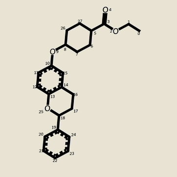 CCOC(=O)C1CCC(Oc2ccc3c(c2)CCC(c2ccccc2)O3)CC1